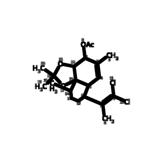 CC(=O)OC1C(C)=CC2C(C(C)=C(Cl)Cl)CCC(C)C23OC(C)(C)OC13